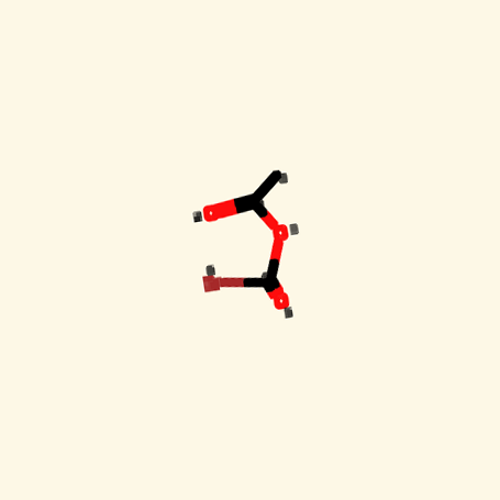 CC(=O)OC(=O)Br